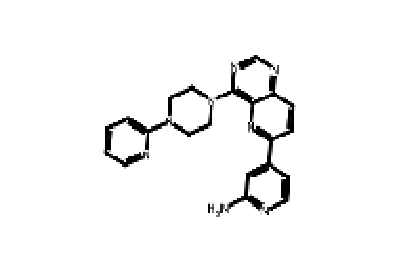 Nc1cc(-c2ccc3ncnc(N4CCN(c5ccccn5)CC4)c3n2)ccn1